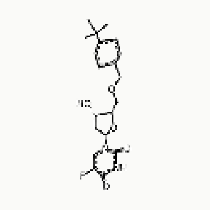 CC(C)(C)c1ccc(COC[C@H]2O[C@@H](n3cc(F)c(=O)[nH]c3=O)C[C@@H]2O)cc1